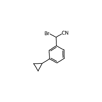 N#CC(Br)c1cccc(C2CC2)c1